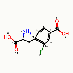 N[C@@H](Cc1ccc(C(=O)O)cc1F)C(=O)O